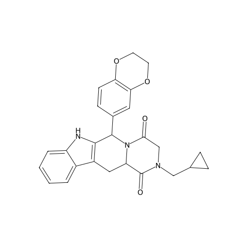 O=C1C2Cc3c([nH]c4ccccc34)C(c3ccc4c(c3)OCCO4)N2C(=O)CN1CC1CC1